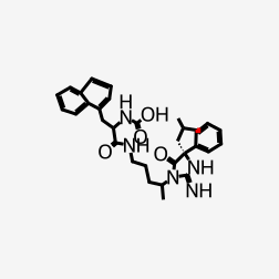 CC(C)C[C@]1(c2ccccc2)NC(=N)N(C(C)CCCNC(=O)C(Cc2cccc3ccccc23)NC(=O)O)C1=O